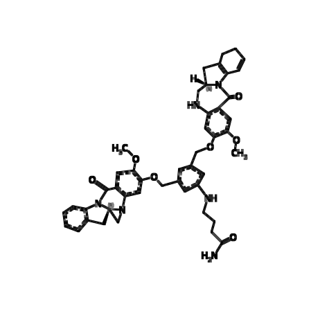 COc1cc2c(cc1OCc1cc(COc3cc4c(cc3OC)C(=O)N3c5ccccc5C[C@@]35CN45)cc(NCCCC(N)=O)c1)NC[C@@H]1CC3=C(C=CCC3)N1C2=O